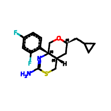 NC1=N[C@]2(c3ccc(F)cc3F)CO[C@H](CC3CC3)C[C@@H]2CS1